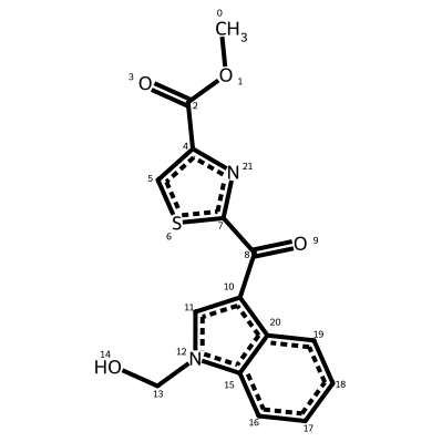 COC(=O)c1csc(C(=O)c2cn(CO)c3ccccc23)n1